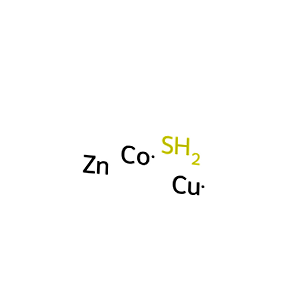 S.[Co].[Cu].[Zn]